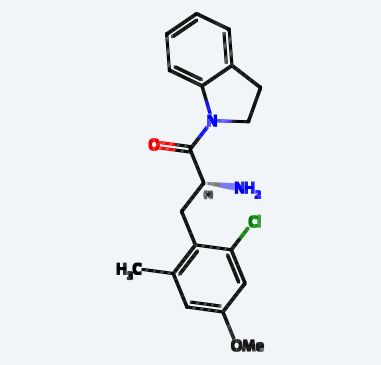 COc1cc(C)c(C[C@@H](N)C(=O)N2CCc3ccccc32)c(Cl)c1